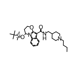 CCCCN1CCC(CNC(=O)c2c3n(c4ccccc24)C(O[Si](C)(C)C(C)(C)C)CCO3)CC1